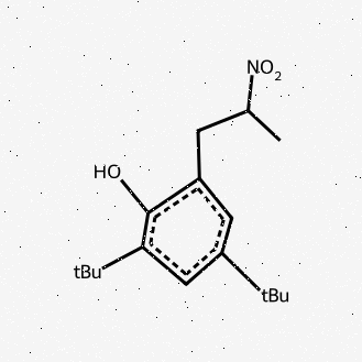 CC(Cc1cc(C(C)(C)C)cc(C(C)(C)C)c1O)[N+](=O)[O-]